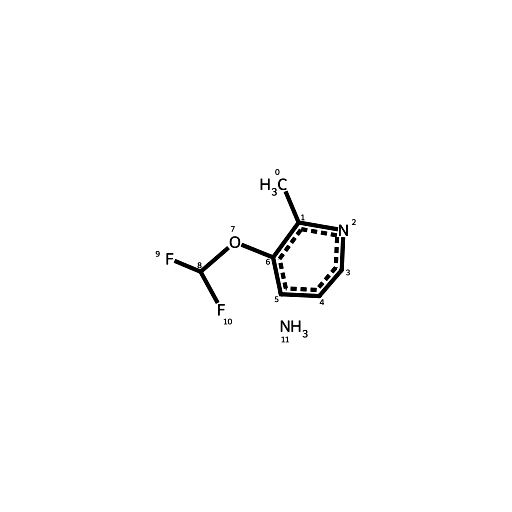 Cc1ncccc1OC(F)F.N